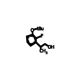 C[C](CO)c1cccc(OC(C)(C)C)c1F